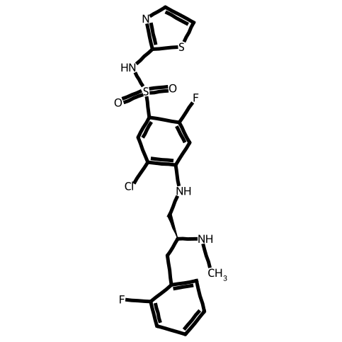 CN[C@H](CNc1cc(F)c(S(=O)(=O)Nc2nccs2)cc1Cl)Cc1ccccc1F